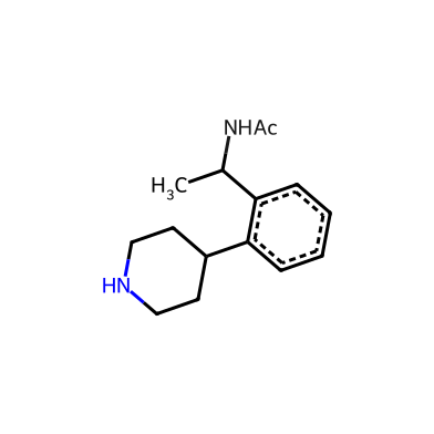 CC(=O)NC(C)c1ccccc1C1CCNCC1